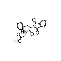 O=C(O)CNC(=O)C(Cc1ccccc1)N1C(=O)c2ccccc2C1=O